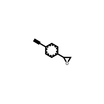 C#Cc1ccc(C2CO2)cc1